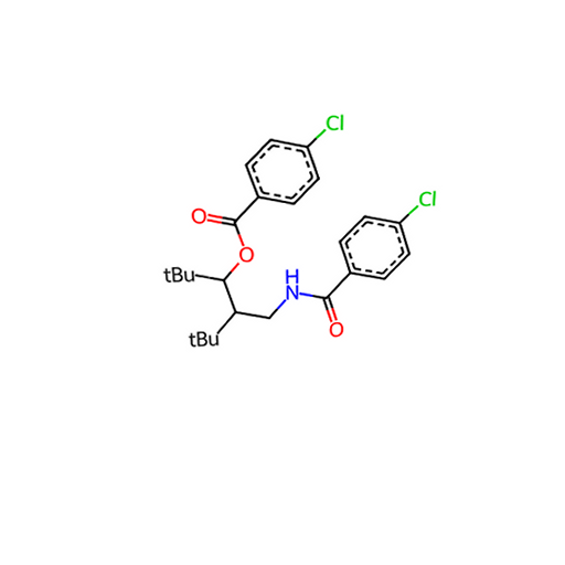 CC(C)(C)C(CNC(=O)c1ccc(Cl)cc1)C(OC(=O)c1ccc(Cl)cc1)C(C)(C)C